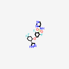 O=S(=O)(Nc1ccncn1)c1c(F)cc(O[C@H]2CC(F)(F)CC[C@@H]2c2cn[nH]c2)cc1F